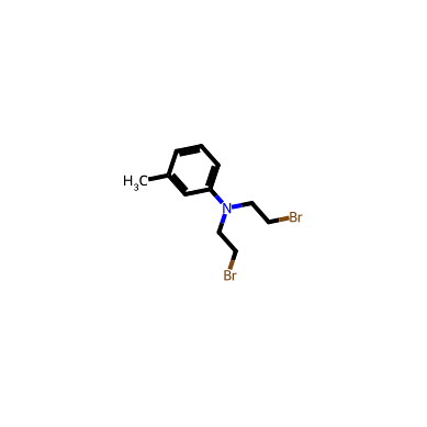 Cc1cccc(N(CCBr)CCBr)c1